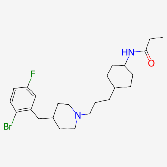 CCC(=O)NC1CCC(CCCN2CCC(Cc3cc(F)ccc3Br)CC2)CC1